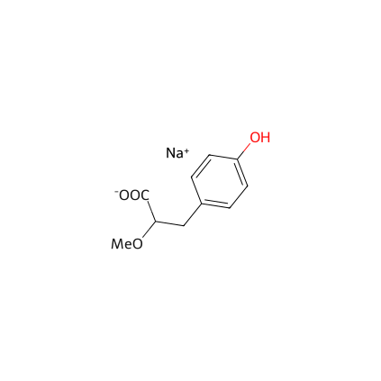 COC(Cc1ccc(O)cc1)C(=O)[O-].[Na+]